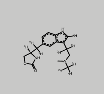 [2H]c1[nH]c2ccc(C([2H])([2H])[C@@]3([2H])COC(=O)N3)cc2c1C([2H])([2H])CN(C)C([2H])([2H])[2H]